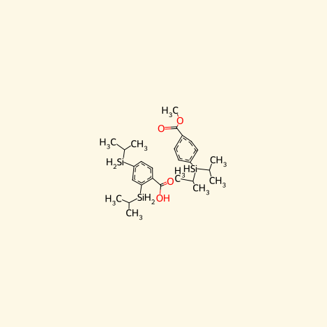 CC(C)[SiH2]c1ccc(C(=O)O)c([SiH2]C(C)C)c1.COC(=O)c1ccc([SiH](C(C)C)C(C)C)cc1